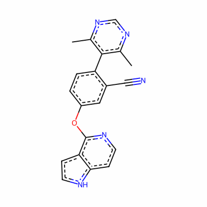 Cc1ncnc(C)c1-c1ccc(Oc2nccc3[nH]ccc23)cc1C#N